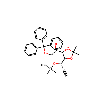 C#C[C@H](O[Si](C)(C)C(C)(C)C)[C@@H]1OC(C)(C)O[C@@H]1[C@H](O)COC(c1ccccc1)(c1ccccc1)c1ccccc1